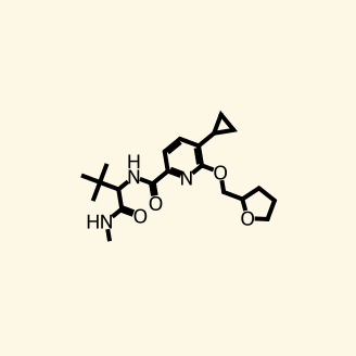 CNC(=O)C(NC(=O)c1ccc(C2CC2)c(OCC2CCCO2)n1)C(C)(C)C